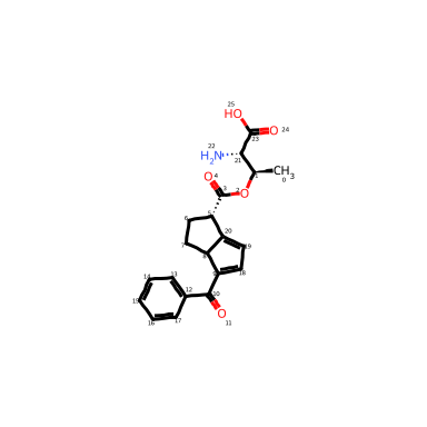 C[C@@H](OC(=O)[C@H]1CCC2C(C(=O)c3ccccc3)=CC=C21)[C@H](N)C(=O)O